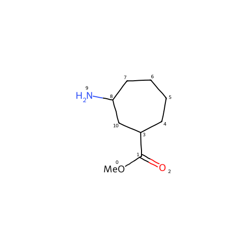 COC(=O)C1CCCCC(N)C1